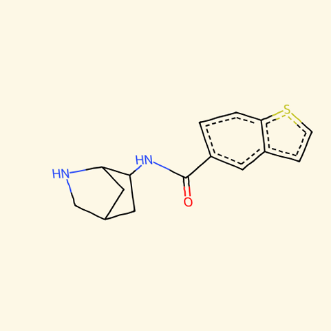 O=C(NC1CC2CNC1C2)c1ccc2sccc2c1